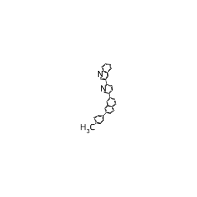 Cc1ccc(-c2ccc3ccc(-c4ccc(-c5cnc6ccccc6c5)nc4)cc3c2)cc1